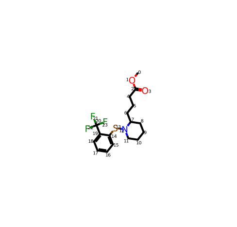 COC(=O)CCCC1CCCCN1Sc1ccccc1C(F)(F)F